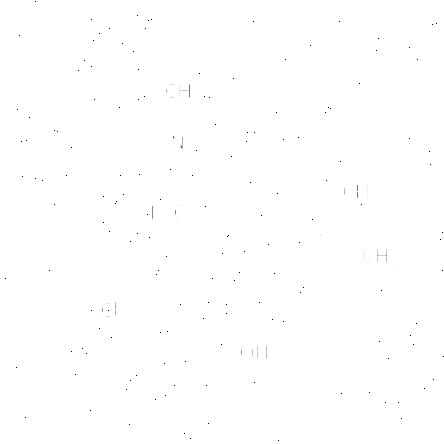 CN(CC1(C)CC(O)CC(C)(C)C1)c1cccc(Cl)c1